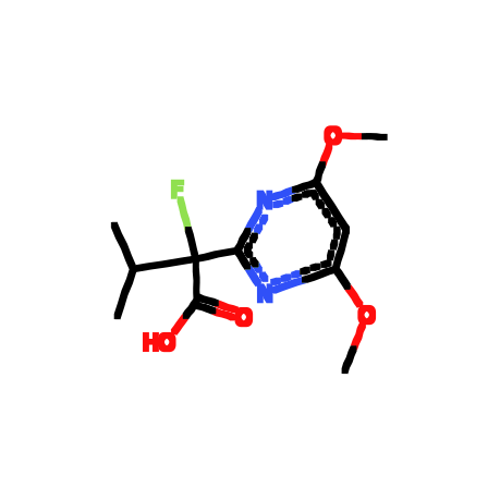 COc1cc(OC)nc(C(F)(C(=O)O)C(C)C)n1